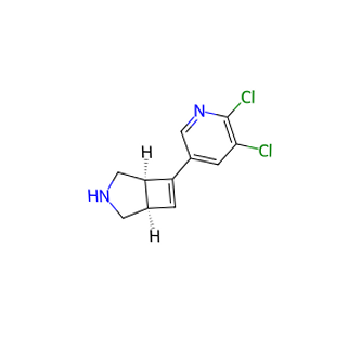 Clc1cc(C2=C[C@H]3CNC[C@@H]23)cnc1Cl